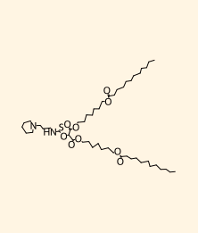 CCCCCCCCCCCC(=O)OCCCCCCCOC(=O)C(OC(=S)NCCCN1CCCCC1)C(=O)OCCCCCCCOC(=O)CCCCCCCCCCC